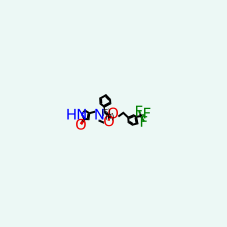 O=C1C=C(CN2CCO[C@@H](OCCc3cccc(C(F)(F)F)c3)[C@@H]2c2ccccc2)CN1